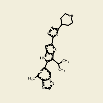 Cc1cc(-c2[nH]c3cc(-c4nnc(C5CCNCC5)s4)sc3c2C(C)C)cn2ncnc12